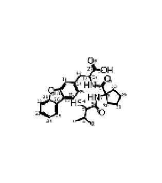 CC(C)C(S)C(=O)NC1(C(=O)N[C@@H](Cc2ccc3c(c2)oc2ccccc23)C(=O)O)CCCC1